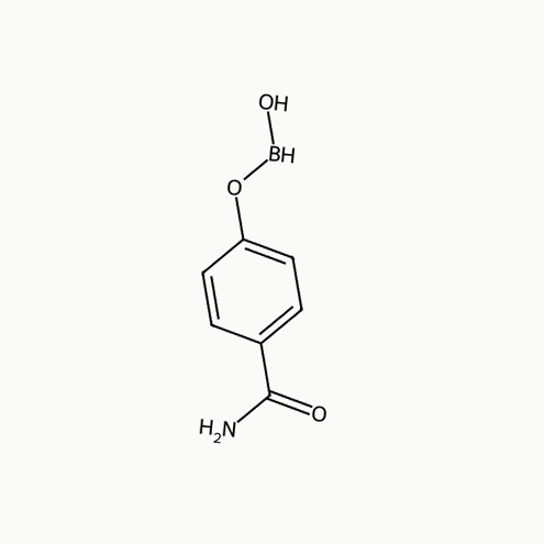 NC(=O)c1ccc(OBO)cc1